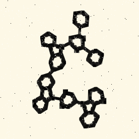 c1ccc(-c2cc(-n3c4ccccc4c4cc(-c5ccc6c7ccccc7n(-c7ncc(-n8c9ccccc9c9ncccc98)cn7)c6c5)ccc43)nc(-c3ccccc3)n2)cc1